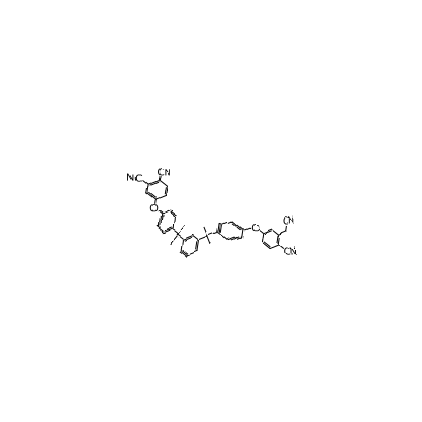 CC(C)(c1ccc(Oc2ccc(C#N)c(C#N)c2)cc1)c1cccc(C(C)(C)c2ccc(Oc3ccc(C#N)c(CC#N)c3)cc2)c1